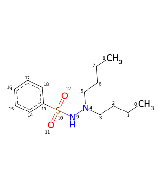 CCCCN(CCCC)NS(=O)(=O)c1cc[c]cc1